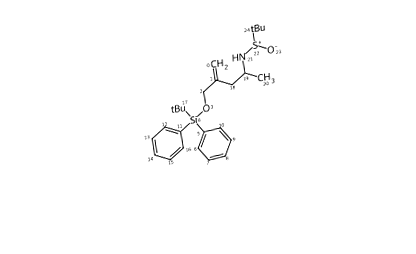 C=C(CO[Si](c1ccccc1)(c1ccccc1)C(C)(C)C)CC(C)N[S+]([O-])C(C)(C)C